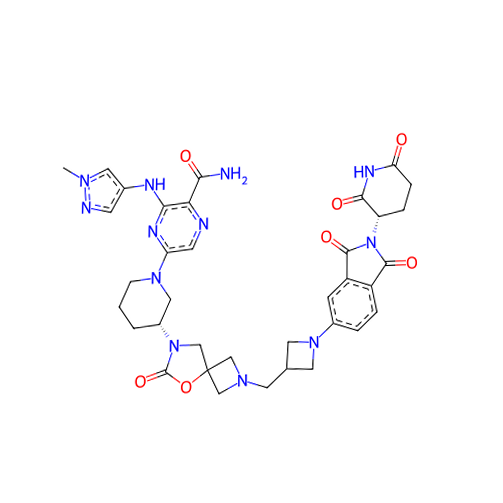 Cn1cc(Nc2nc(N3CCC[C@@H](N4CC5(CN(CC6CN(c7ccc8c(c7)C(=O)N([C@H]7CCC(=O)NC7=O)C8=O)C6)C5)OC4=O)C3)cnc2C(N)=O)cn1